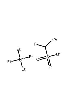 CCCC(F)S(=O)(=O)[O-].CC[N+](CC)(CC)CC